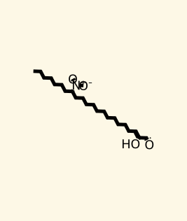 CCCCCCCC(CCCCCCCCCCCC=C(O)[C]=O)[N+](=O)[O-]